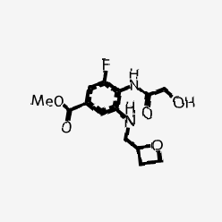 COC(=O)c1cc(F)c(NC(=O)CO)c(NCC2CCO2)c1